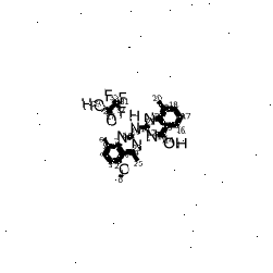 COc1ccc(C)c2nc(Nc3nc(O)c4cccc(C)c4n3)nc(C)c12.O=C(O)C(F)(F)F